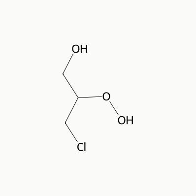 OCC(CCl)OO